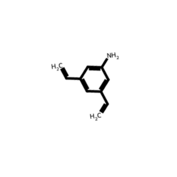 C=Cc1cc(N)cc(C=C)c1